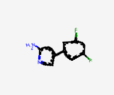 Nc1cc(-c2cc(F)cc(F)c2)ccn1